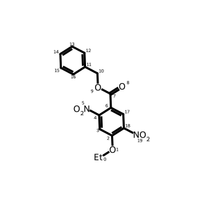 CCOc1cc([N+](=O)[O-])c(C(=O)OCc2ccccc2)cc1[N+](=O)[O-]